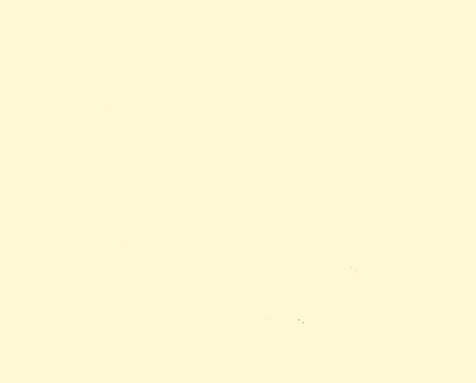 CCC(C)C(C)C1OC1CC(C)(C)/C=C/C=C(\C)C1OC(=O)CC(C)CCC(C)C(OC(=O)N(C)CCN2CCCCC2)/C=C/C1C